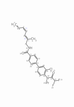 C=N/C=C\C=C(/C)CNC(=O)c1ccc(-c2ccc(N(C(=O)C(F)F)C(C)C)c(Cl)c2)nc1